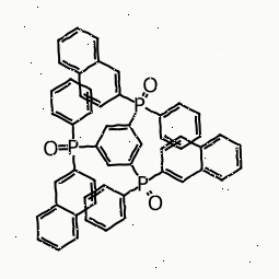 O=P(c1ccccc1)(c1cc(P(=O)(c2ccccc2)c2ccc3ccccc3c2)cc(P(=O)(c2ccccc2)c2ccc3ccccc3c2)c1)c1ccc2ccccc2c1